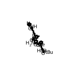 COc1c(C(=O)c2ccccc2OCCCNC(=O)OC(C)(C)C)ccc(C(=O)N(C)c2ccc(C)cc2OCCCCCC(=O)Nc2ccncc2)c1N